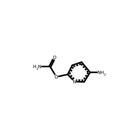 NC(=O)Oc1ccc(N)cn1